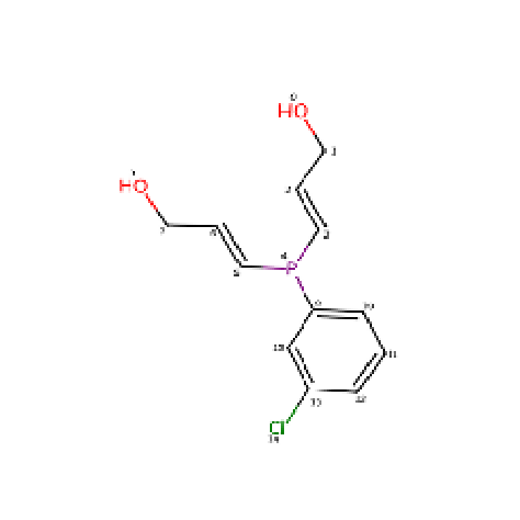 OCC=CP(C=CCO)c1cccc(Cl)c1